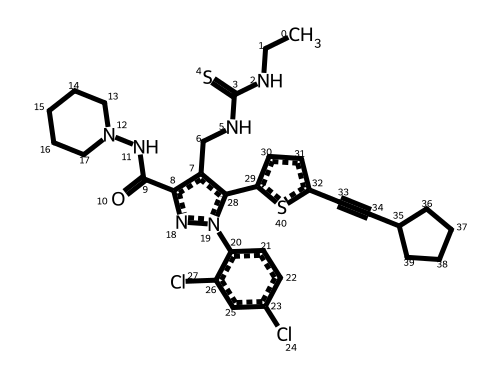 CCNC(=S)NCc1c(C(=O)NN2CCCCC2)nn(-c2ccc(Cl)cc2Cl)c1-c1ccc(C#CC2CCCC2)s1